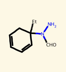 CCC1(N(N)C=O)C=CC=CC1